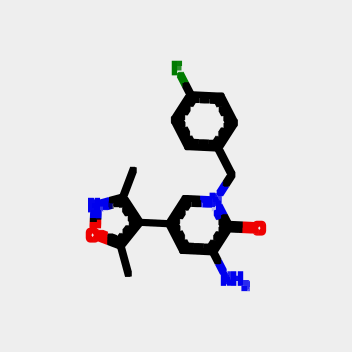 Cc1noc(C)c1-c1cc(N)c(=O)n(Cc2ccc(F)cc2)c1